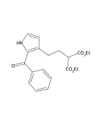 CCOC(=O)C(CCc1cc[nH]c1C(=O)c1ccccc1)C(=O)OCC